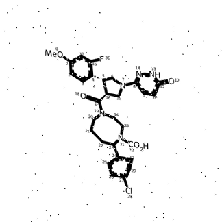 COc1ccc([C@@H]2CN(c3ccc(=O)[nH]n3)C[C@H]2C(=O)N2CCCC(c3ccc(Cl)cc3)N(C(=O)O)CC2)c(F)c1